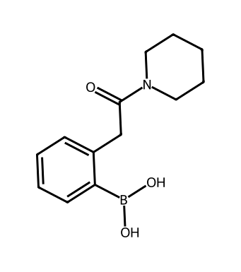 O=C(Cc1ccccc1B(O)O)N1CCCCC1